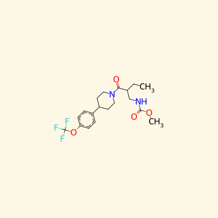 CCC(CNC(=O)OC)C(=O)N1CCC(c2ccc(OC(F)(F)F)cc2)CC1